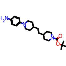 CC(C)(C)OC(=O)N1CCC(CCC2CCN(c3ccc(N)cc3)CC2)CC1